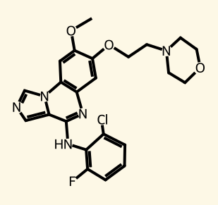 COc1cc2c(cc1OCCN1CCOCC1)nc(Nc1c(F)cccc1Cl)c1cncn12